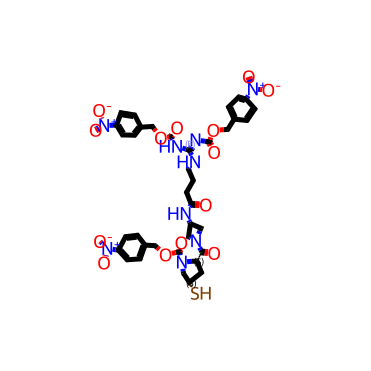 O=C(CCCN/C(=N\C(=O)OCc1ccc([N+](=O)[O-])cc1)NC(=O)OCc1ccc([N+](=O)[O-])cc1)NC1CN(C(=O)[C@@H]2C[C@H](S)CN2C(=O)OCc2ccc([N+](=O)[O-])cc2)C1